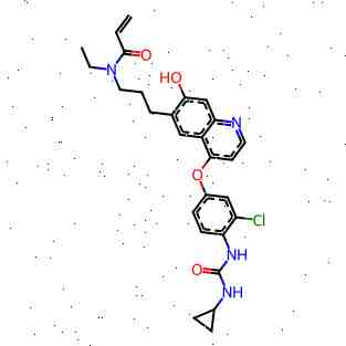 C=CC(=O)N(CC)CCCc1cc2c(Oc3ccc(NC(=O)NC4CC4)c(Cl)c3)ccnc2cc1O